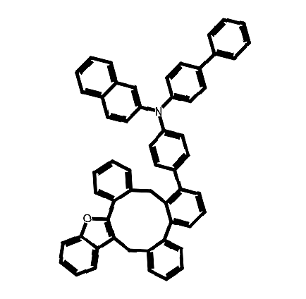 c1ccc(-c2ccc(N(c3ccc(-c4cccc5c4Cc4ccccc4-c4oc6ccccc6c4Cc4ccccc4-5)cc3)c3ccc4ccccc4c3)cc2)cc1